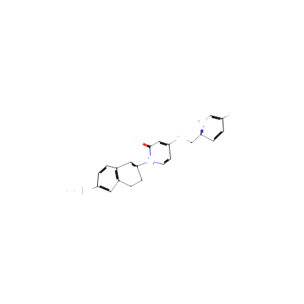 O=Cc1ccc2c(c1)CCC(n1ccc(OCc3ccc(Cl)cn3)cc1=O)=C2